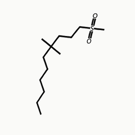 CCCCCCC(C)(C)CCCS(C)(=O)=O